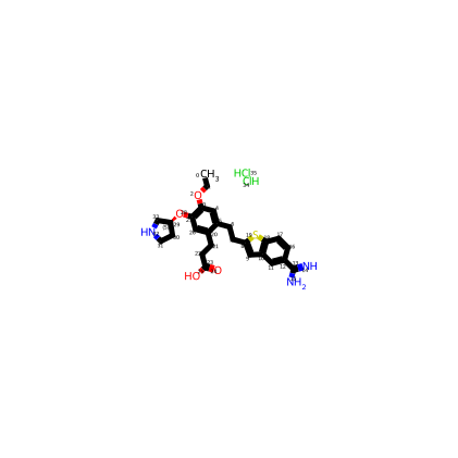 CCOc1cc(CCc2cc3cc(C(=N)N)ccc3s2)c(CCC(=O)O)cc1O[C@H]1CCNC1.Cl.Cl